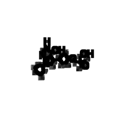 OCC1(COc2ccc(-c3cn(-c4ccccc4)c4c3C(O)NC=N4)cc2)COC1